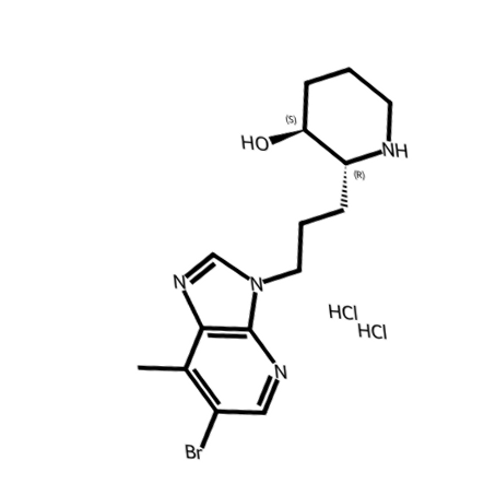 Cc1c(Br)cnc2c1ncn2CCC[C@H]1NCCC[C@@H]1O.Cl.Cl